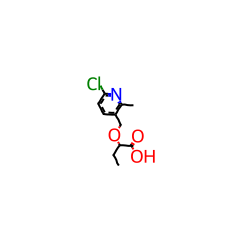 CCC(OCc1ccc(Cl)nc1C)C(=O)O